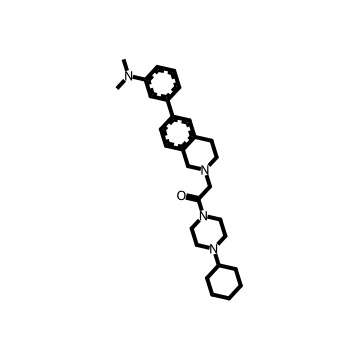 CN(C)c1cccc(-c2ccc3c(c2)CCN(CC(=O)N2CCN(C4CCCCC4)CC2)C3)c1